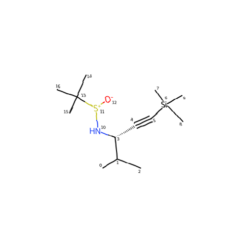 CC(C)[C@@H](C#C[Si](C)(C)C)N[S+]([O-])C(C)(C)C